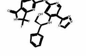 O=C1NC(F)(F)c2nc(Nc3cc(N[C@H](CO)c4ccccc4)c(-c4nnco4)cn3)ccc21